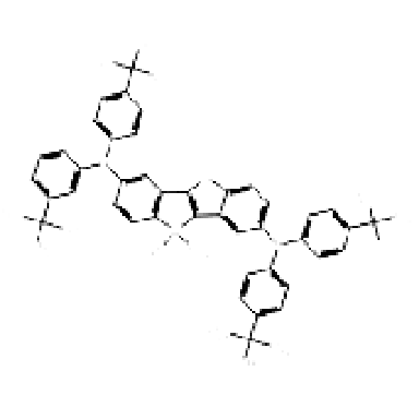 CC(C)(C)c1ccc(N(c2cccc(C(C)(C)C)c2)c2ccc3c(c2)-c2oc4ccc(N(c5ccc(C(C)(C)C)cc5)c5ccc(C(C)(C)C)cc5)cc4c2[Si]3(C)C)cc1